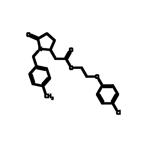 Cc1ccc(CN2C(=O)CCC2CC(=O)OCCOc2ccc(Cl)cc2)cc1